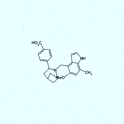 COc1cc(C)c2[nH]ccc2c1CN1C2CC(C2)CC1c1ccc(C(=O)O)cc1